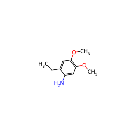 CCc1cc(OC)c(OC)cc1N